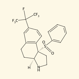 O=S(=O)(c1ccccc1)[C@]12CCN[C@H]1CCc1cc(C(F)(C(F)(F)F)C(F)(F)F)ccc12